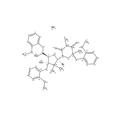 COc1ccccc1CC(O)[C@H]1O[C@@](Br)(N2CC(C)(Cc3ccccc3OC)C(=O)N(C)C2=O)C(C)(C)[C@@]1(O)Cc1ccccc1OC.N